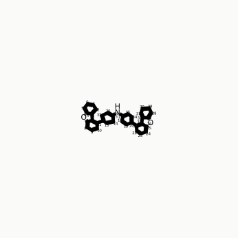 c1ccc2c(c1)oc1cccc(-c3ccc(Nc4ccc(-c5cccc6oc7ccccc7c56)cc4)cc3)c12